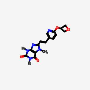 CCn1c(=O)c2c(nc(C=Cc3ccc(OC4COC4)nc3)n2C)n(CC)c1=O